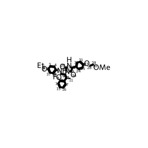 CCOc1ccc(NC(=O)[C@H]([C@@H](C)c2ccccc2)N2C(=O)NC(c3ccc(OCCOC)cc3)C2=O)c(F)c1